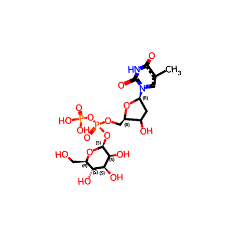 Cc1cn([C@H]2CC(O)[C@@H](COP(=O)(O[C@@H]3O[C@H](CO)[C@@H](O)[C@H](O)[C@@H]3O)OP(=O)(O)O)O2)c(=O)[nH]c1=O